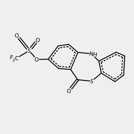 O=C1Sc2ccccc2Nc2ccc(OS(=O)(=O)C(F)(F)F)cc21